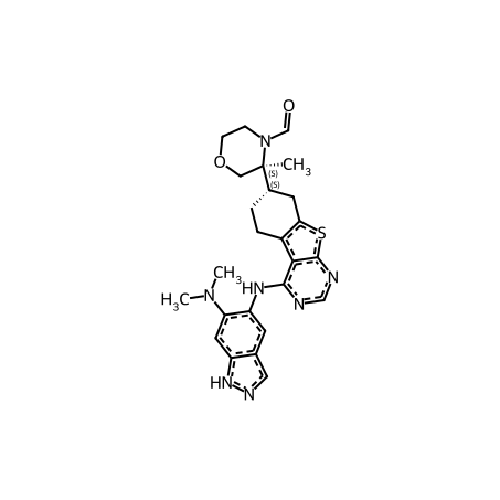 CN(C)c1cc2[nH]ncc2cc1Nc1ncnc2sc3c(c12)CC[C@H]([C@@]1(C)COCCN1C=O)C3